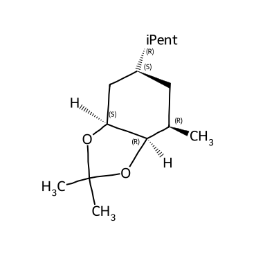 CCC[C@@H](C)[C@H]1C[C@@H](C)[C@H]2OC(C)(C)O[C@H]2C1